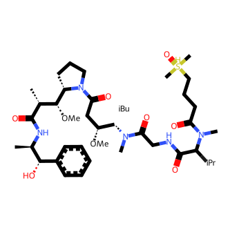 CC[C@H](C)[C@@H]([C@@H](CC(=O)N1CCC[C@H]1[C@H](OC)[C@@H](C)C(=O)N[C@H](C)[C@@H](O)c1ccccc1)OC)N(C)C(=O)CNC(=O)C(C(C)C)N(C)C(=O)CCC[SH](C)(C)=O